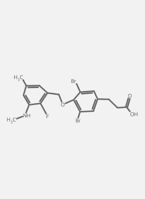 CNc1cc(C)cc(COc2c(Br)cc(CCC(=O)O)cc2Br)c1F